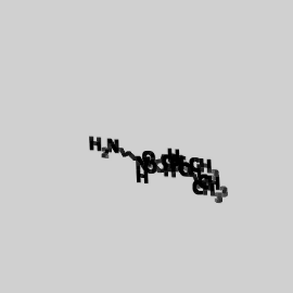 CC(C)CCC[C@@H](C)[C@H]1CC[C@H]2[C@@H]3CC=C4C[C@@H](OC(=O)NCCCCCCN)CC[C@]4(C)[C@H]3CC[C@]12C